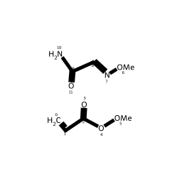 C=CC(=O)OOC.CON=CC(N)=O